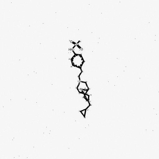 CS(=O)(=O)Nc1ccc(CCN2CC3CN(CC4CC4)CC(C2)C32CCCC2)cc1